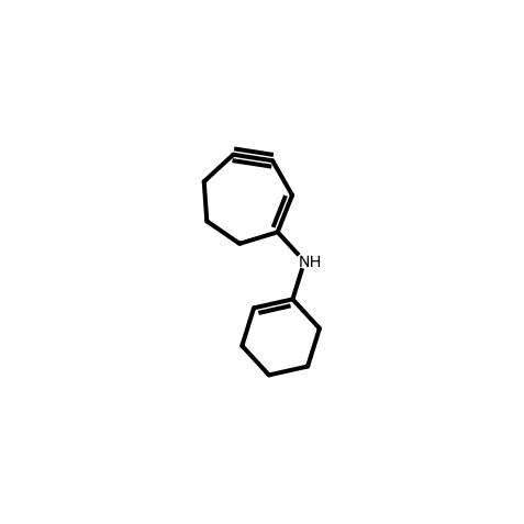 C1#CCCCC(NC2=CCCCC2)=C1